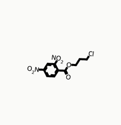 O=C(OCCCCl)c1ccc([N+](=O)[O-])cc1[N+](=O)[O-]